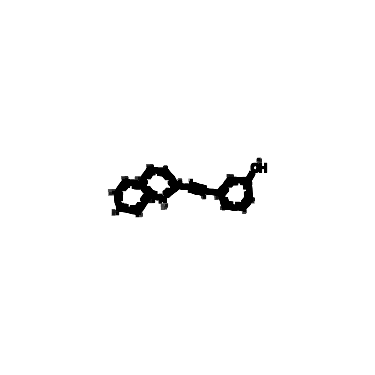 Oc1cccc(C#Cc2ccc3ccccc3n2)c1